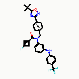 CC(C)(C)c1nc(C23CCC(CN(C(=O)C45CC(F)(C4)C5)c4cccc(Nc5ccc(C(F)(F)F)cc5)c4)(CC2)CC3)no1